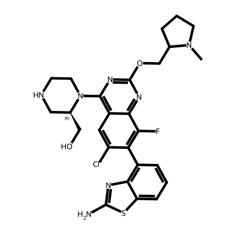 CN1CCCC1COc1nc(N2CCNC[C@@H]2CO)c2cc(Cl)c(-c3cccc4sc(N)nc34)c(F)c2n1